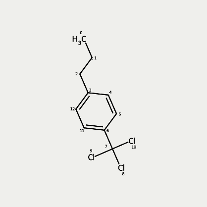 C[CH]Cc1ccc(C(Cl)(Cl)Cl)cc1